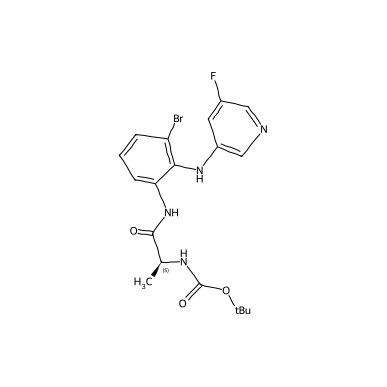 C[C@H](NC(=O)OC(C)(C)C)C(=O)Nc1cccc(Br)c1Nc1cncc(F)c1